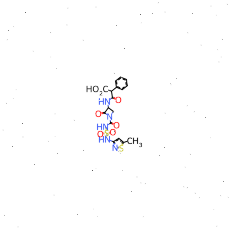 Cc1cc(NS(=O)(=O)NC(=O)N2CC(NC(=O)C(C(=O)O)c3ccccc3)C2=O)ns1